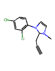 C#CCC1N(C)C=CN1c1ccc(Cl)cc1Cl